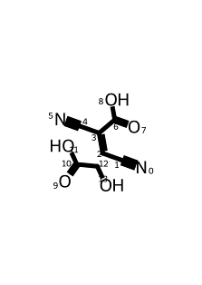 N#CC=C(C#N)C(=O)O.O=C(O)CO